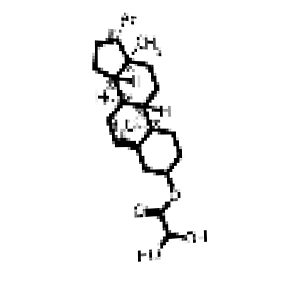 CC(=O)[C@H]1CC[C@H]2[C@@H]3CC=C4CC(OC(=O)C(O)O)CC[C@]4(C)[C@H]3CC[C@]12C